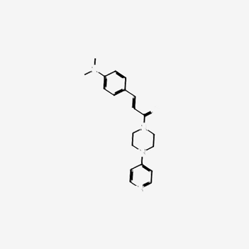 CN(C)c1ccc(C=CC(=O)N2CCN(c3ccncc3)CC2)cc1